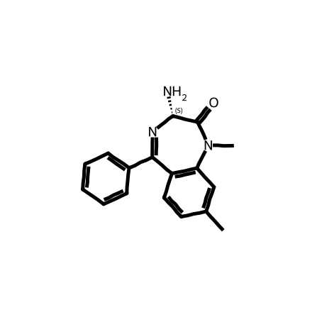 Cc1ccc2c(c1)N(C)C(=O)[C@@H](N)N=C2c1ccccc1